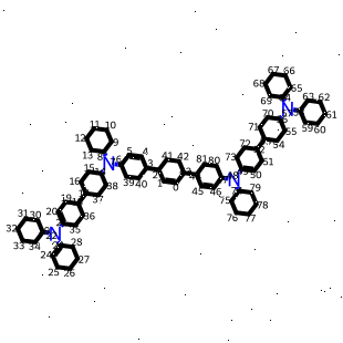 C1=CC(C2C=CC(N(C3CCCCC3)C3CCC(C4CC=C(N(C5=CCCCC5)C5CCCCC5)CC4)CC3)CC2)CCC1C1C=CC(N(C2=CCC(C3CCC(N(C4CCCCC4)C4CCCCC4)CC3)CC2)C2CCCCC2)CC1